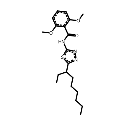 CCCCCCC(CC)c1nnc(NC(=O)c2c(OC)cccc2OC)s1